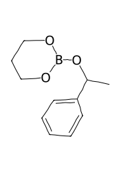 CC(OB1OCCCO1)c1ccccc1